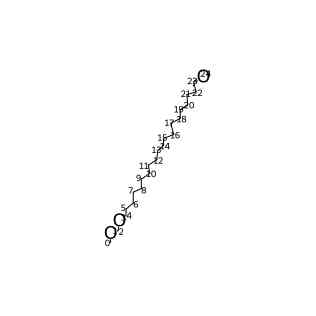 COCOCCCCCCCCCCCCCCCCCCC[C]=O